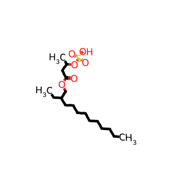 CCCCCCCCCCC(CC)COC(=O)CC(C)OS(=O)(=O)O